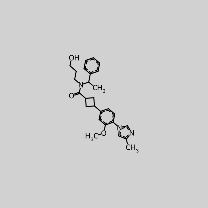 COc1cc(C2CC(C(=O)N(CCCO)C(C)c3ccccc3)C2)ccc1-n1cnc(C)c1